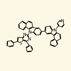 c1ccc(-c2cc3nc(-n4c5ccc(-c6ccc7c(c6)c6c8ccccc8ccc6n7-c6ccncc6)cc5c5ccc6ccccc6c54)nc(-c4ccccc4)c3s2)cc1